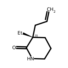 C=CC[C@]1(CC)CCCNC1=O